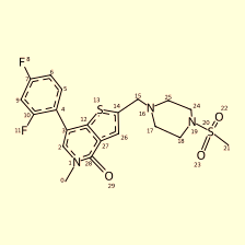 Cn1cc(-c2ccc(F)cc2F)c2sc(CN3CCN(S(C)(=O)=O)CC3)cc2c1=O